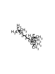 CC(C)OP(=O)(OCCCCSSC(C)(C)C)OC(C)(C)C